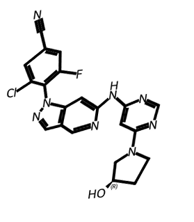 N#Cc1cc(F)c(-n2ncc3cnc(Nc4cc(N5CC[C@@H](O)C5)ncn4)cc32)c(Cl)c1